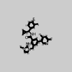 Cc1cc([C@@H](NC(=O)c2cc(Cn3ccn(C)c3=N)cc(-c3cnc(F)cc3C)c2)C2CC2)ccc1F